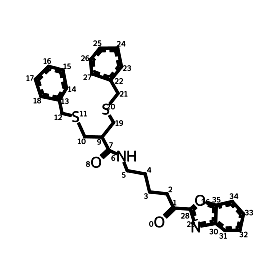 O=C(CCCCNC(=O)C(CSCc1ccccc1)CSCc1ccccc1)c1nc2ccccc2o1